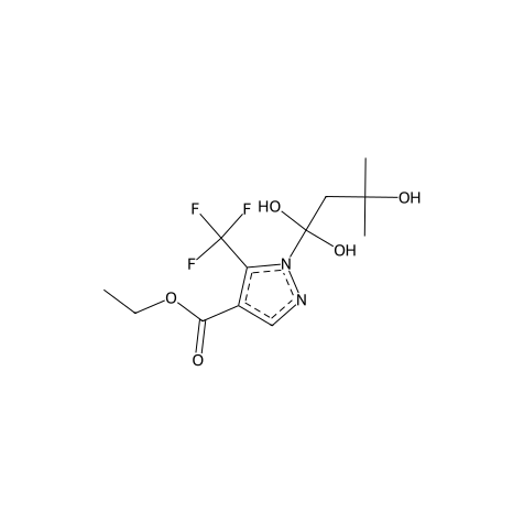 CCOC(=O)c1cnn(C(O)(O)CC(C)(C)O)c1C(F)(F)F